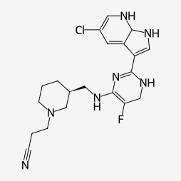 N#CCCN1CCC[C@@H](CNC2=C(F)CNC(C3=CNC4NC=C(Cl)C=C34)=N2)C1